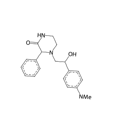 CNc1ccc(C(O)CN2CCNC(=O)C2c2ccccc2)cc1